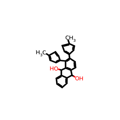 Cc1ccc(-c2ccc3c(c2-c2ccc(C)cc2)C(O)c2ccccc2C3O)cc1